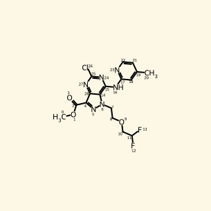 COC(=O)c1nn(CCOCC(F)F)c2c(Nc3cc(C)ccn3)nc(Cl)nc12